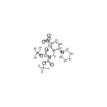 CC(C)(C)OC(=O)N(Cc1cc([N+](=O)[O-])ccc1N1CCCCC1)C(=O)OC(C)(C)C